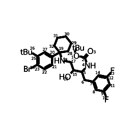 CC(C)(C)OC(=O)NC(Cc1cc(F)cc(F)c1)C(O)CNC1(c2ccc(Br)c(C(C)(C)C)c2)CCCCC1